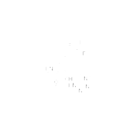 CC1(C(N)=O)C=CC(C(F)(F)F)=CC1c1nnn[nH]1